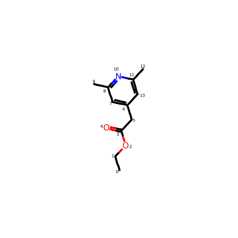 CCOC(=O)Cc1cc(C)nc(C)c1